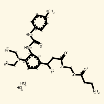 CCC(CC(=O)OCOC(=O)CCN)c1ccc(N(CC(C)C)CC(C)C)c(NC(=O)Nc2ccc(C)cc2)c1.Cl.Cl